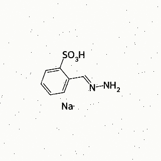 NN=Cc1ccccc1S(=O)(=O)O.[Na]